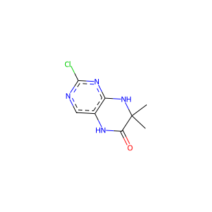 CC1(C)Nc2nc(Cl)ncc2NC1=O